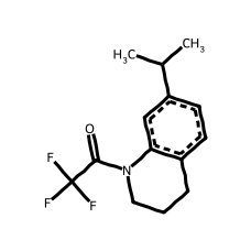 CC(C)c1ccc2c(c1)N(C(=O)C(F)(F)F)CCC2